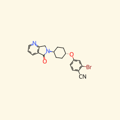 N#Cc1ccc(O[C@H]2CC[C@H](N3Cc4ncccc4C3=O)CC2)cc1Br